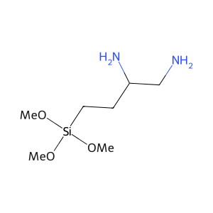 CO[Si](CCC(N)CN)(OC)OC